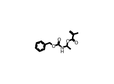 C=C(C)C(=O)OC(C)NC(=O)OCc1ccccc1